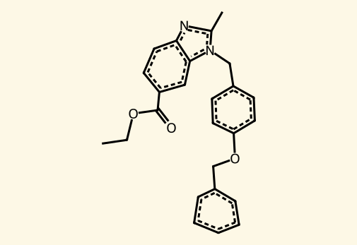 CCOC(=O)c1ccc2nc(C)n(Cc3ccc(OCc4ccccc4)cc3)c2c1